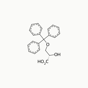 O=C(O)[C@@H](O)COC(c1ccccc1)(c1ccccc1)c1ccccc1